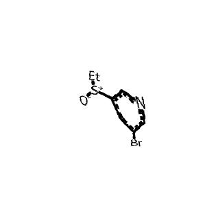 CC[S+]([O-])c1cncc(Br)c1